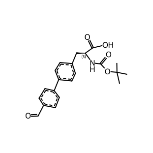 CC(C)(C)OC(=O)N[C@@H](Cc1ccc(-c2ccc(C=O)cc2)cc1)C(=O)O